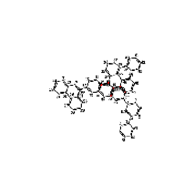 c1ccc(-c2cccc(-c3ccc(N(c4ccc(-c5cc6ccccc6c6ccccc56)cc4)c4cccc(-c5ccccc5)c4-c4ccccc4-c4ccccc4)cc3)c2)cc1